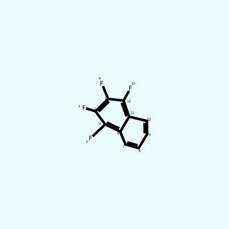 Fc1c(F)c(F)c2ccc[c]c2c1F